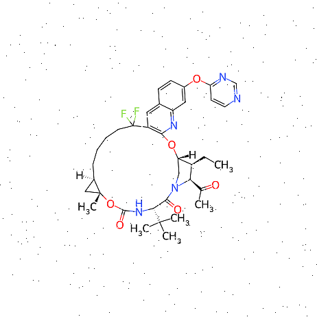 CC[C@@H]1[C@@H]2CN(C(=O)[C@H](C(C)(C)C)NC(=O)O[C@]3(C)C[C@H]3CCCCC(F)(F)c3cc4ccc(Oc5ccncn5)cc4nc3O2)[C@@H]1C(C)=O